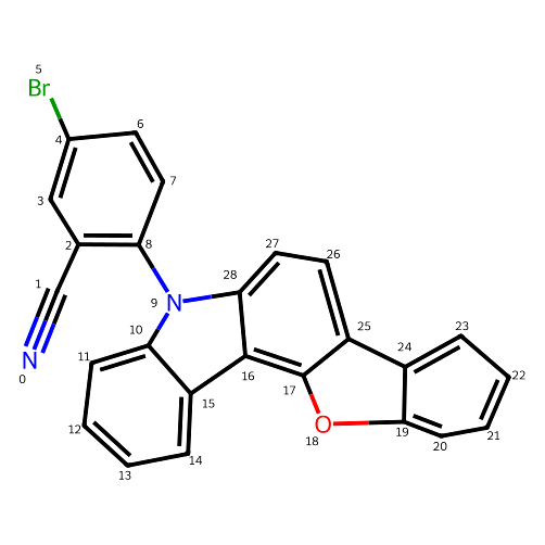 N#Cc1cc(Br)ccc1-n1c2ccccc2c2c3oc4ccccc4c3ccc21